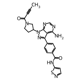 CC#CC(=O)N1CCC(n2nc(-c3ccc(C(=O)Nc4ccns4)cc3)c3c(N)ncnc32)C1